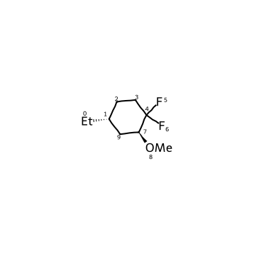 CC[C@@H]1CCC(F)(F)[C@@H](OC)C1